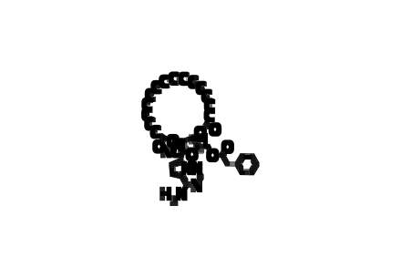 N#C[C@@]1(c2ccc3c(N)ncnn23)O[C@H](COC(=O)Cc2ccccc2)[C@H]2OC(=O)CCCCCCCCCCCCCCC(=O)O[C@H]21